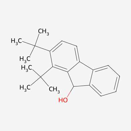 CC(C)(C)c1ccc2c(c1C(C)(C)C)C(O)c1ccccc1-2